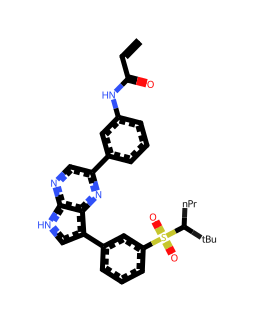 C=CC(=O)Nc1cccc(-c2cnc3[nH]cc(-c4cccc(S(=O)(=O)C(CCC)C(C)(C)C)c4)c3n2)c1